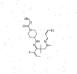 C/C=C(F)\C(=N\NC1CCN(C(=O)OC(C)(C)C)CC1)C(C)(C)CN(C)/N=C/C=C\CC